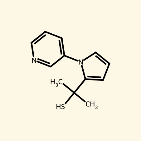 CC(C)(S)c1cccn1-c1cccnc1